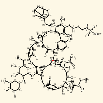 CCCCCCCCCCS(=O)(=O)NCCNCc1c(O)cc2c(c1O)-c1cc(ccc1O)[C@H]1CC(=O)[C@@H]3NC(=O)[C@H](CC(N)=O)CC(=O)[C@H](NC(=O)[C@H](CC)CC(C)C)[C@H](O)c4ccc(c(Cl)c4)Oc4cc3cc(c4O[C@@H]3O[C@H](CO)[C@@H](O)[C@H](O)[C@H]3O[C@H]3C[C@H](N)[C@H](C)[C@H](C)O3)Oc3ccc(cc3Cl)[C@@H](O)[C@H](NC1=O)C(=O)N[C@@H]2C(=O)CC1C2CC3CC(C2)CC1C3